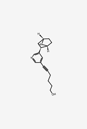 OCCCCC#Cc1cncc([C@H]2C[C@@H]3CC[C@H]2N3)c1